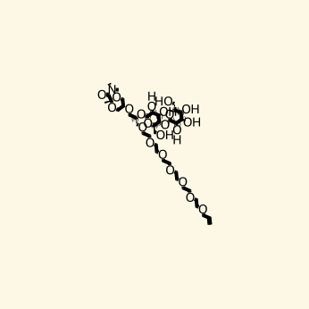 C=CCOCCOCCOCCOCCOCCOCCOC[C@H](CO[C@H]1CO[C@@](C)(C(=O)N(C)C)OC1)O[C@@H]1O[C@H](CO)[C@@H](O[C@@H]2O[C@H](CO)[C@H](O)[C@H](O)[C@H]2O)[C@H](O)[C@H]1O